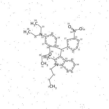 CCCCn1c(C)c(C(c2cccc([N+](=O)[O-])c2)c2ccc(N(CC)CC)cc2OCC)c2ccccc21